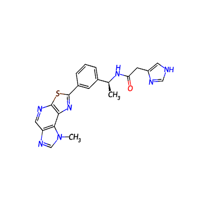 C[C@H](NC(=O)Cc1c[nH]cn1)c1cccc(-c2nc3c(ncc4ncn(C)c43)s2)c1